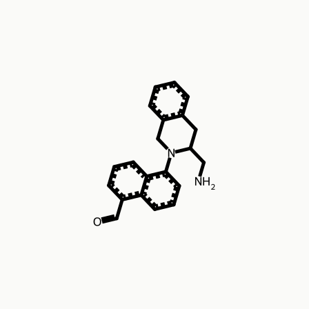 NCC1Cc2ccccc2CN1c1cccc2c(C=O)cccc12